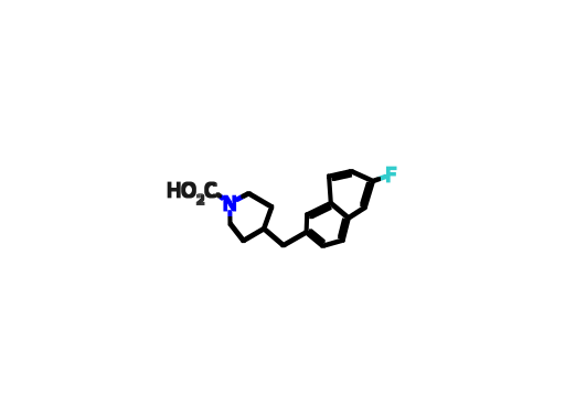 O=C(O)N1CCC(Cc2ccc3cc(F)ccc3c2)CC1